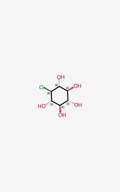 O[C@@H]1[C@@H](O)[C@H](O)[C@@H](Cl)[C@H](O)[C@H]1O